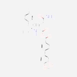 CC(C)(Cc1ccc(F)cc1)N[C@@H](CCC(N)=O)C(=O)OC(=O)c1ccc(-c2ccc3c(c2)OCO3)cc1